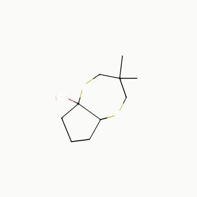 CC1(C)CSC2CCCC2(O)SC1